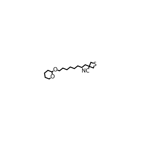 N#CC1(CCCCCCCCOC2CCCCO2)CSC1